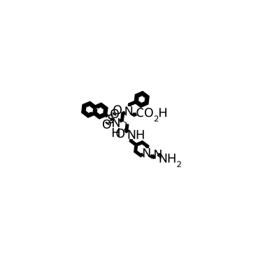 NN=CN1CCC(CNC(=O)C[C@H](NS(=O)(=O)c2ccc3ccccc3c2)C(=O)N(CC(=O)O)Cc2ccccc2)CC1